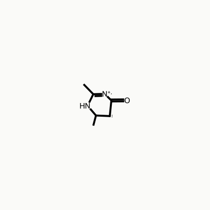 CC1=[N+]C(=O)[C]C(C)N1